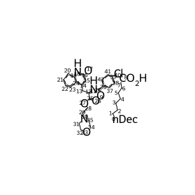 CCCCCCCCCCCCCCCCCC(=O)O.O=C(NC(Cc1cc(=O)[nH]c2ccccc12)C(=O)OCCN1CCOCC1)c1ccc(Cl)cc1